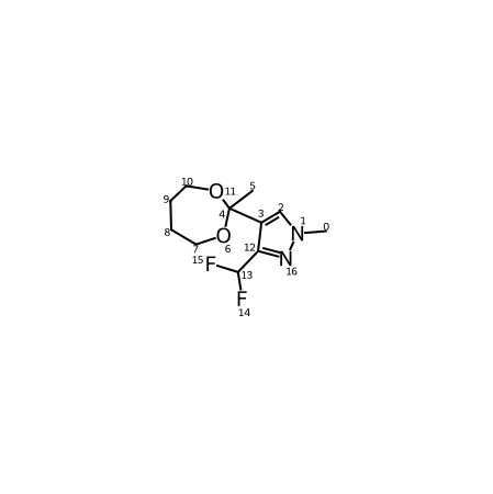 Cn1cc(C2(C)OCCCCO2)c(C(F)F)n1